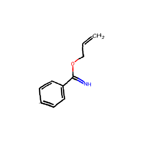 C=CCOC(=N)c1cc[c]cc1